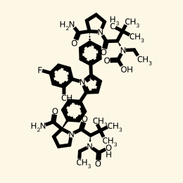 CCN(C(=O)O)[C@H](C(=O)N1CCC[C@@]1(C(N)=O)c1ccc(-c2ccc(-c3ccc([C@]4(C(N)=O)CCCN4C(=O)[C@@H](N(CC)C(=O)O)C(C)(C)C)cc3)n2-c2ccc(F)cc2C)cc1)C(C)(C)C